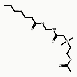 CCCCCCC(=O)NCNC(=O)C[N+](C)(C)CCOC(C)=O